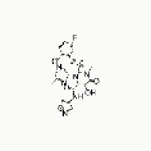 Cc1cnc([C@H](c2cc(F)ccc2Cl)[C@@H](C)c2nc(C(=O)Nc3cnoc3)c(O)c(=O)n2C)cn1